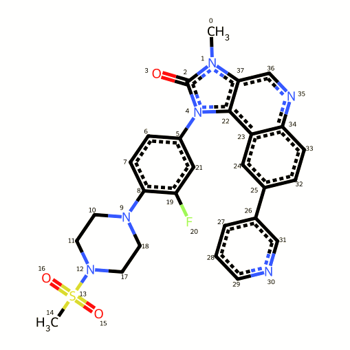 Cn1c(=O)n(-c2ccc(N3CCN(S(C)(=O)=O)CC3)c(F)c2)c2c3cc(-c4cccnc4)ccc3ncc21